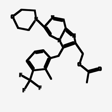 CC(=O)OCc1nc2cnc(N3CCOCC3)cn2c1Cc1cccc(C(F)(F)F)c1C